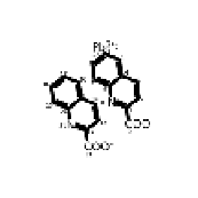 O=C([O-])c1ccc2ccccc2n1.O=C([O-])c1ccc2ccccc2n1.[Pb+2]